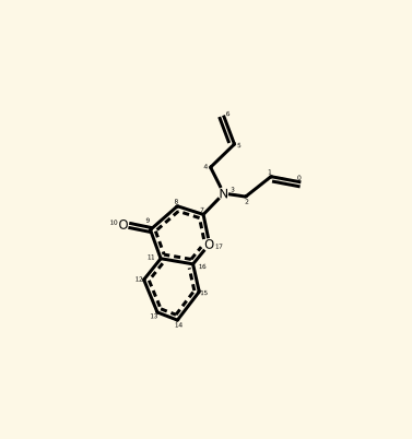 C=CCN(CC=C)c1cc(=O)c2ccccc2o1